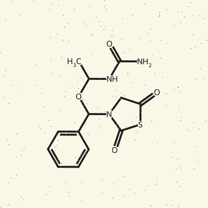 CC(NC(N)=O)OC(c1ccccc1)N1CC(=O)SC1=O